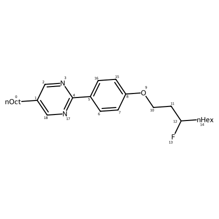 CCCCCCCCc1cnc(-c2ccc(OCCC(F)CCCCCC)cc2)nc1